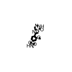 CNS(=O)(=O)c1ccc(-c2cn3c(=O)[nH]ncc3n2)c(OC)c1